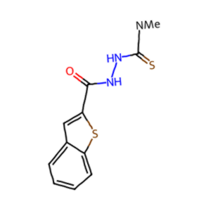 CNC(=S)NNC(=O)c1cc2ccccc2s1